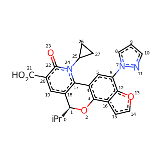 CC(C)[C@@H]1Oc2c(cc(-n3cccn3)c3occc23)-c2c1cc(C(=O)O)c(=O)n2C1CC1